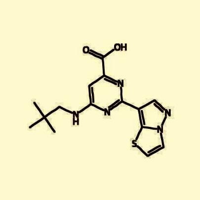 CC(C)(C)CNc1cc(C(=O)O)nc(-c2cnn3ccsc23)n1